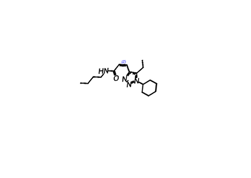 CCCCNC(=O)/C=C\c1nnn(C2CCCCC2)c1CC